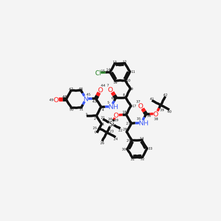 CCC(C)C(NC(=O)C(Cc1cccc(Cl)c1)CC(O[Si](C)(C)C(C)(C)C)C(Cc1ccccc1)NC(=O)OC(C)(C)C)C(=O)N1CCC(=O)CC1